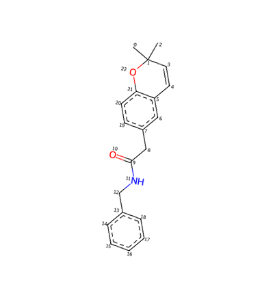 CC1(C)C=Cc2cc(CC(=O)NCc3ccccc3)ccc2O1